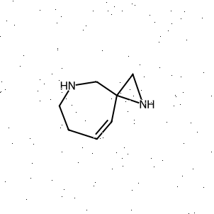 C1=CC2(CNCC1)CN2